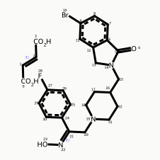 O=C(O)/C=C/C(=O)O.O=C1c2ccc(Br)cc2CN1CC1CCN(C/C(=N/O)c2ccc(F)cc2)CC1